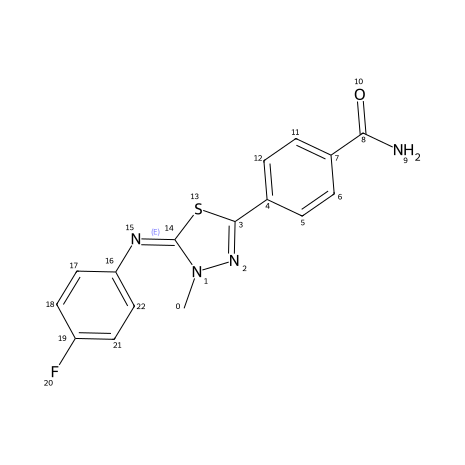 Cn1nc(-c2ccc(C(N)=O)cc2)s/c1=N/c1ccc(F)cc1